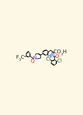 O=C(N[C@@H](Cc1ccc(C2=CCN(C(=O)c3cccc(C(F)(F)F)c3)CC2)cc1)C(=O)O)c1c(Cl)cccc1Cl